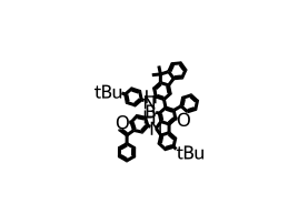 CC(C)(C)c1ccc(Nc2cc3c(cc2-c2c4c5c(c6cc(C(C)(C)C)ccc6n5-c5cc6c(-c7ccccc7)coc6cc5B4)c4oc5ccccc5c24)-c2ccccc2C3(C)C)cc1